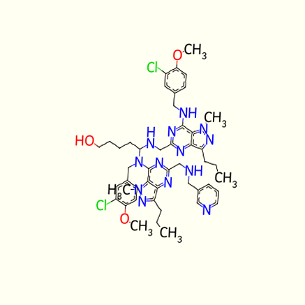 CCCc1nn(C)c2c(NCc3ccc(OC)c(Cl)c3)nc(CNC(CCCCO)N(Cc3ccc(OC)c(Cl)c3)c3nc(CNCc4cccnc4)nc4c(CCC)nn(C)c34)nc12